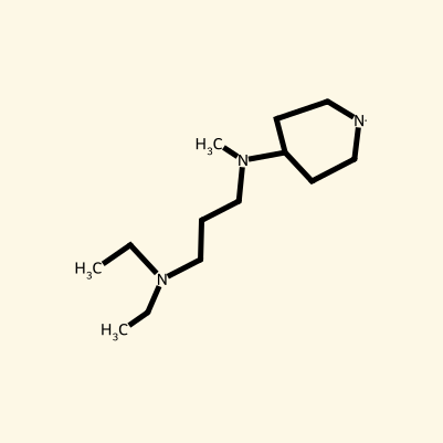 CCN(CC)CCCN(C)C1CC[N]CC1